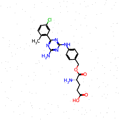 Cc1ccc(Cl)cc1-c1nc(N)nc(Nc2ccc(COC(=O)[C@@H](N)CCC(=O)O)cc2)n1